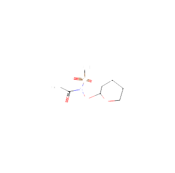 CCCC(=O)N(OC1CCCCO1)S(C)(=O)=O